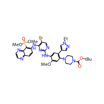 CCn1cc(-c2cc(Nc3ncc(Br)c(Nc4ccc5nccnc5c4P(=O)(OC)OC)n3)c(OC)cc2N2CCN(C(=O)OC(C)(C)C)CC2)cn1